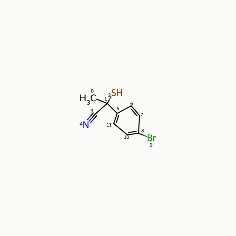 CC(S)(C#N)c1ccc(Br)cc1